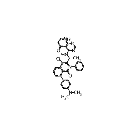 C[C@H](Nc1ncnc2[nH]ccc(=O)c12)c1c(Cl)c2cccc(-c3ccc(N(C)C)cc3)c2c(=O)n1-c1ccccc1